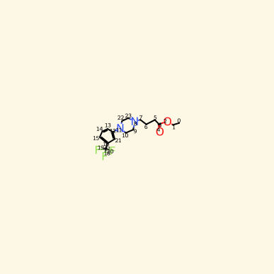 CCOC(=O)CCCN1CCN(c2cccc(C(F)(F)F)c2)CC1